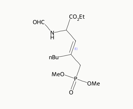 CCCC/C(=C\C(NC=O)C(=O)OCC)CP(=O)(OC)OC